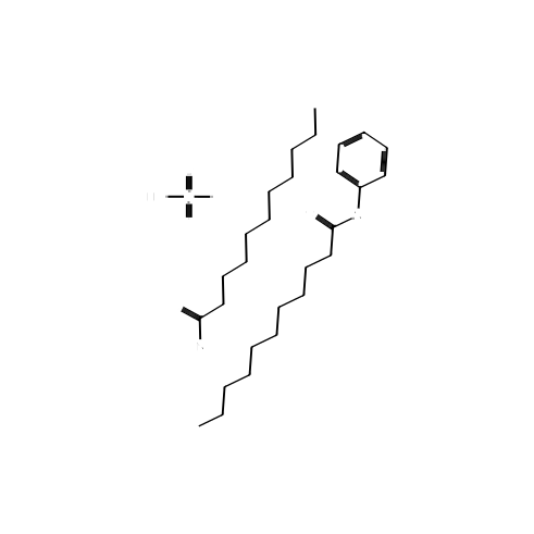 CCCCCCCCCCC(=O)Nc1ccccc1.CCCCCCCCCCC(N)=O.O=S(=O)(O)O